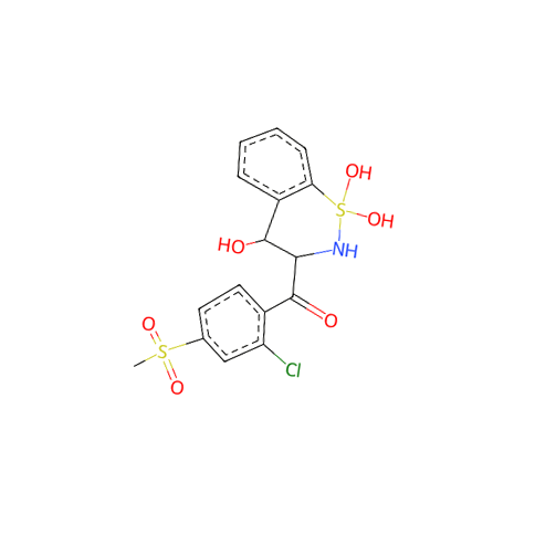 CS(=O)(=O)c1ccc(C(=O)C2NS(O)(O)c3ccccc3C2O)c(Cl)c1